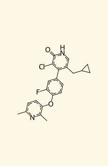 Cc1ccc(Oc2ccc(-c3c(CC4CC4)c[nH]c(=O)c3Cl)cc2F)c(C)n1